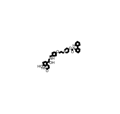 O=C(Nc1ccccc1-c1ccccc1)OC1CCN(CCCOc2ccc(CNCC(O)c3ccc(O)c4[nH]c(=O)ccc34)cc2)CC1